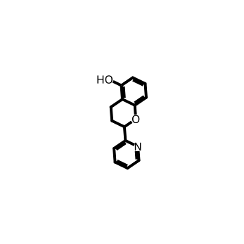 Oc1cccc2c1CCC(c1ccccn1)O2